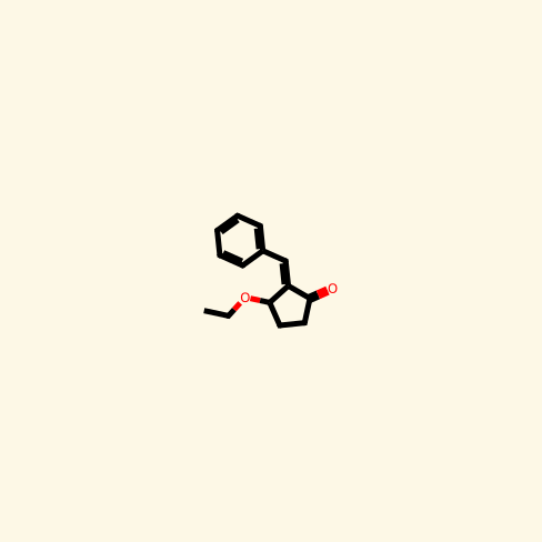 CCOC1CCC(=O)C1=Cc1ccccc1